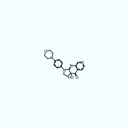 O=C1c2ccncc2N=C2N(c3ccc(N4CCOCC4)cc3)CCC12O